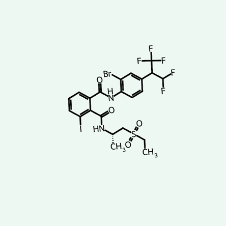 CCS(=O)(=O)C[C@H](C)NC(=O)c1c(I)cccc1C(=O)Nc1ccc(C(C(F)F)C(F)(F)F)cc1Br